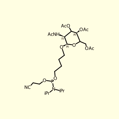 CC(=O)N[C@H]1C(OC(C)=O)[C@@H](OC(C)=O)C(COC(C)=O)O[C@H]1OCCCCOP(OCCC#N)N(C(C)C)C(C)C